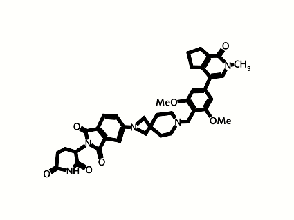 COc1cc(-c2cn(C)c(=O)c3c2CCC3)cc(OC)c1CN1CCC2(CC1)CN(c1ccc3c(c1)C(=O)N(C1CCC(=O)NC1=O)C3=O)C2